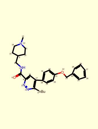 CCCCc1nnc(C(=O)NCC2CCN(C)CC2)cc1-c1ccc(OCc2ccccc2)cc1